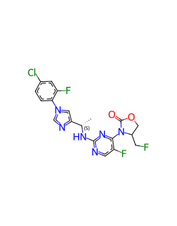 C[C@H](Nc1ncc(F)c(N2C(=O)OCC2CF)n1)c1cn(-c2ccc(Cl)cc2F)cn1